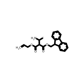 C=CCOC(=O)C(C(=O)OCC1c2ccccc2-c2ccccc21)C(N)I